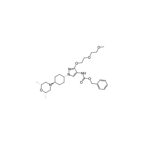 COCCOCCOc1nn([C@H]2CC[C@H](N3C[C@@H](C)O[C@@H](C)C3)CC2)cc1NC(=O)OCc1ccccc1